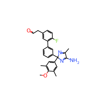 COc1c(C)cc(C2(c3cccc(-c4cc(CC=O)ccc4F)c3)N=C(C)C(N)=N2)cc1C